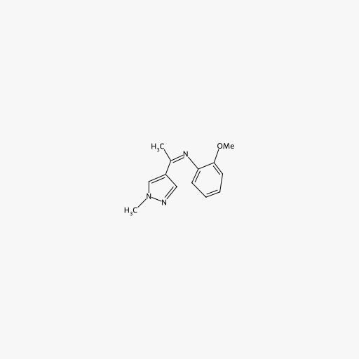 COc1ccccc1N=C(C)c1cnn(C)c1